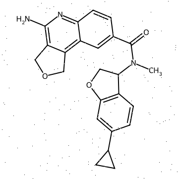 CN(C(=O)c1ccc2nc(N)c3c(c2c1)COC3)C1COc2cc(C3CC3)ccc21